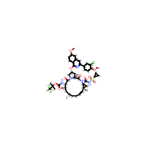 COc1ccc2c(O[C@@H]3C[C@H]4C(=O)N[C@]5(C(=O)NS(=O)(=O)C6CC6)C[C@H]5C=CCC[C@H](C)C[C@@H](C)[C@H](NC(=O)OC(C)(C)C(F)(F)F)C(=O)N4C3)nc(-c3ccc(OC)c(Cl)c3)cc2c1